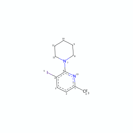 FC(F)(F)c1ccc(I)c(N2CCCCC2)n1